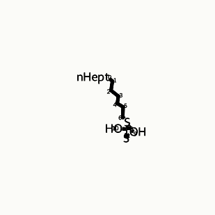 CCCCCCCCCCCCCSP(O)(O)=S